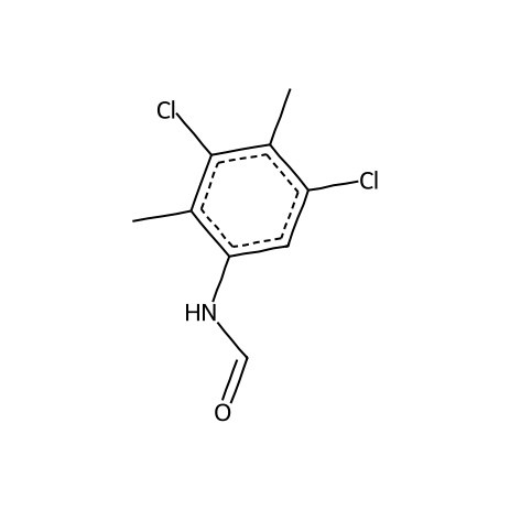 Cc1c(Cl)cc(NC=O)c(C)c1Cl